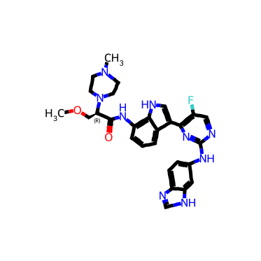 COC[C@H](C(=O)Nc1cccc2c(-c3nc(Nc4ccc5nc[nH]c5c4)ncc3F)c[nH]c12)N1CCN(C)CC1